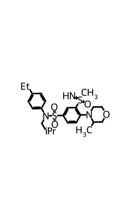 CCc1ccc(N(CC(C)C)S(=O)(=O)c2ccc(N3CCOCC3C)c(S(C)(=N)=O)c2)cc1